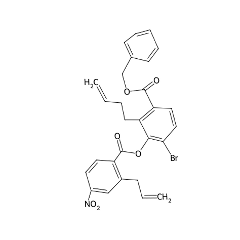 C=CCCc1c(C(=O)OCc2ccccc2)ccc(Br)c1OC(=O)c1ccc([N+](=O)[O-])cc1CC=C